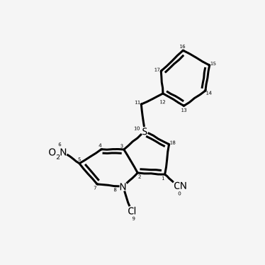 N#CC1=C2C(=CC([N+](=O)[O-])=CN2Cl)S(Cc2ccccc2)=C1